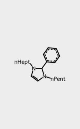 CCCCCCCN1C=CN(CCCCC)C1c1ccccc1